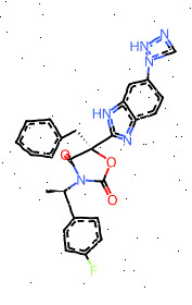 C[C@H](c1ccc(F)cc1)N1C(=O)O[C@](Cc2ccccc2)(c2nc3ccc(-n4cn[nH]4)cc3[nH]2)C1=O